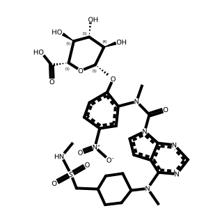 CNS(=O)(=O)CC1CCC(N(C)c2ncnc3c2ccn3C(=O)N(C)c2cc([N+](=O)[O-])ccc2O[C@@H]2O[C@H](C(=O)O)[C@@H](O)[C@H](O)[C@H]2O)CC1